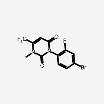 Cn1c(C(F)(F)F)cc(=O)n(-c2ccc(Br)cc2F)c1=O